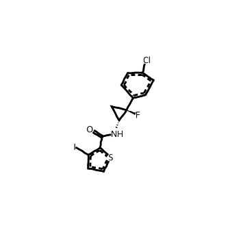 O=C(N[C@@H]1C[C@]1(F)c1ccc(Cl)cc1)c1sccc1I